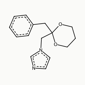 c1ccc(CC2(Cn3ccnc3)OCCCO2)cc1